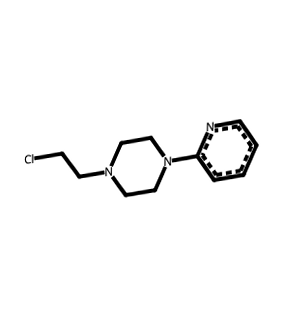 ClCCN1CCN(c2ccccn2)CC1